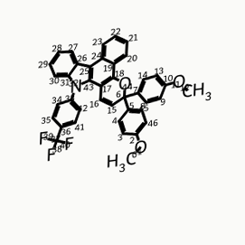 COc1ccc(C2(c3ccc(OC)cc3)C=Cc3c(c4ccccc4c4c5ccccc5n(-c5ccc(C(F)(F)F)cc5)c34)O2)cc1